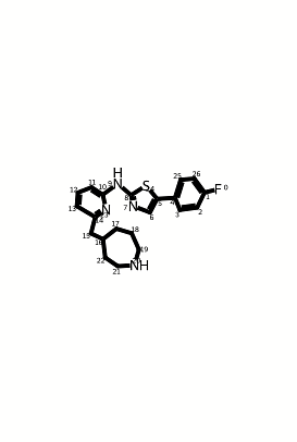 Fc1ccc(-c2cnc(Nc3cccc(CC4CCCNCC4)n3)s2)cc1